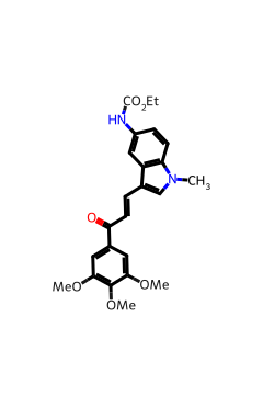 CCOC(=O)Nc1ccc2c(c1)c(/C=C/C(=O)c1cc(OC)c(OC)c(OC)c1)cn2C